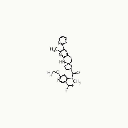 COc1cc([C@H](C)C(=O)N2CC[C@@]3(CCc4cc(-c5ncccn5)c(C)nc4N3)C2)c(C(F)F)cn1